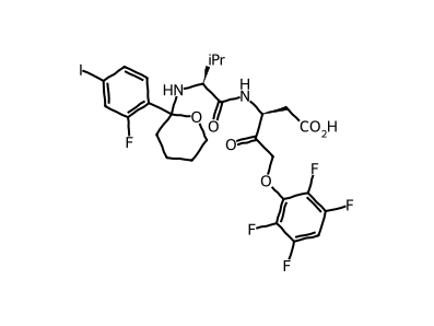 CC(C)[C@H](NC1(c2ccc(I)cc2F)CCCCO1)C(=O)N[C@@H](CC(=O)O)C(=O)COc1c(F)c(F)cc(F)c1F